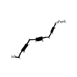 CCCCCC#CCC#CCC#CCBr